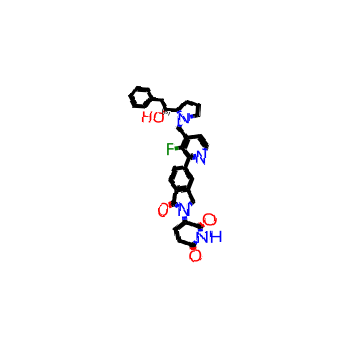 O=C1CCC(N2Cc3cc(-c4nccc(CN5CCCC5[C@H](O)Cc5ccccc5)c4F)ccc3C2=O)C(=O)N1